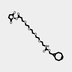 O=C(CCOCCOCCOCCOCCNC(=O)OCC1C2CCC#CCCC21)ON1C(=O)CCC1=O